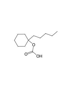 CCCCCC1(OC(=O)O)CCCCC1